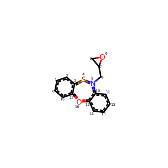 c1ccc2sn(CC3CO3)c3ccccc3oc2c1